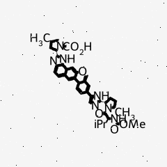 COC(=O)N[C@H](C(=O)N1C(C)CC[C@H]1c1ncc(C2=CC3=COC4=CC5C(=CC=C6N=C([C@@H]7C[C@H](C)CN7C(=O)O)NC65)C=C4C3C=C2)[nH]1)C(C)C